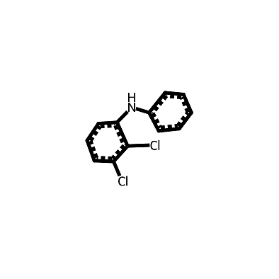 Clc1cccc(Nc2ccccc2)c1Cl